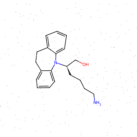 NCCCC[C@H](CO)N1c2ccccc2CCc2ccccc21